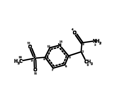 CC(C(N)=O)c1ccc(S(C)(=O)=O)cn1